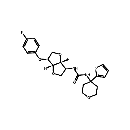 O=C(N[C@H]1CO[C@H]2[C@@H]1OC[C@@H]2Oc1ccc(F)cc1)NC1(c2cccs2)CCOCC1